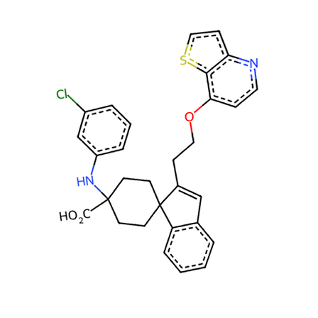 O=C(O)C1(Nc2cccc(Cl)c2)CCC2(CC1)C(CCOc1ccnc3ccsc13)=Cc1ccccc12